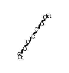 CCOCCOCCOCCOCCOCCOCCOCC